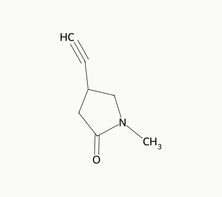 C#CC1CC(=O)N(C)C1